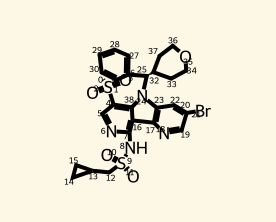 CS(=O)(=O)c1cnc(NS(=O)(=O)CC2CC2)c2c3ncc(Br)cc3n([C@H](c3ccccc3)C3CCOCC3)c12